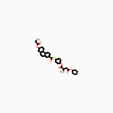 C=CC(=O)Oc1ccc2c(ccc3cc(C(=O)Sc4ccc(OC(=O)C(=C)CC(=O)OC5CCCCC5)cc4)ccc32)c1